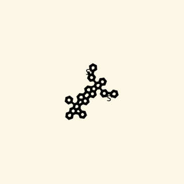 c1ccc(-c2c3cc4ccccc4c4c5ccccc5c(c5c6ccc7c8ccc9c%10c(ccc(c%11ccc(c25)c6c%117)c%108)-c2c-9c(-c5ccc6sc7ccccc7c6c5)c5ccccc5c2-c2ccc5sc6ccccc6c5c2)c34)cc1